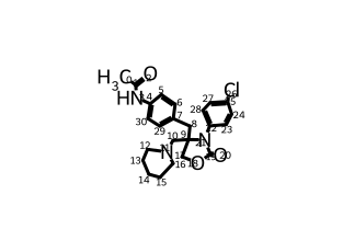 CC(=O)Nc1ccc(CC2(CN3CCCCC3)COC(=O)N2c2ccc(Cl)cc2)cc1